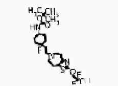 CC(F)(F)COc1nc2c(s1)CCN(CC[C@]1(F)CC[C@@H](NC(=O)OC(C)(C)C)CC1)CC2